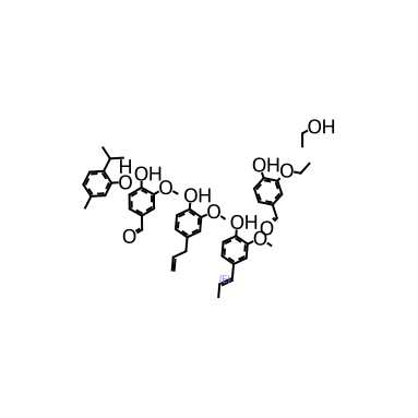 C/C=C/c1ccc(O)c(OC)c1.C=CCc1ccc(O)c(OC)c1.CCO.CCOc1cc(C=O)ccc1O.COc1cc(C=O)ccc1O.Cc1ccc(C(C)C)c(O)c1